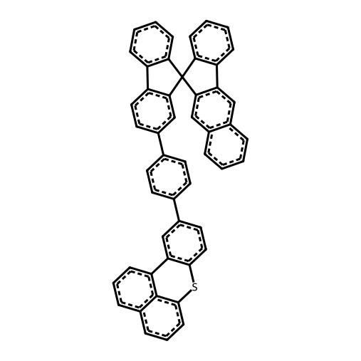 c1ccc2c(c1)-c1ccc(-c3ccc(-c4ccc5c(c4)-c4cccc6cccc(c46)S5)cc3)cc1C21c2ccccc2-c2cc3ccccc3cc21